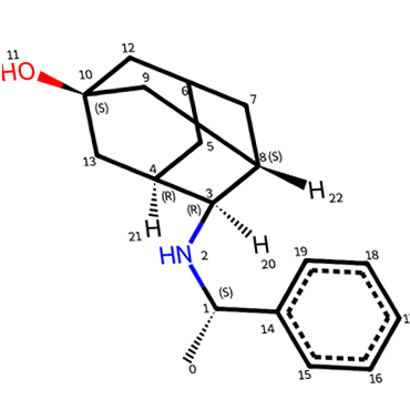 C[C@H](N[C@H]1[C@@H]2CC3C[C@H]1C[C@@](O)(C3)C2)c1ccccc1